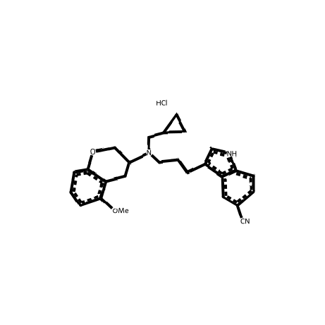 COc1cccc2c1CC(N(CCCc1c[nH]c3ccc(C#N)cc13)CC1CC1)CO2.Cl